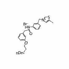 CCCCCCCCCCCCOc1cccc(CC(=O)Nc2cccc(C[n+]3csc(C)c3)c2)c1.[Br-]